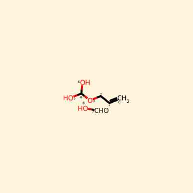 C=CCOC(O)O.O=CO